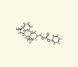 CN1C[C@H](COC(=O)Oc2ccccc2)C=C2c3cccc4[nH]cc(c34)C[C@H]21